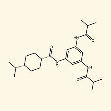 CC(C)C(=O)Nc1cc(NC(=O)C(C)C)cc(NC(=O)[C@H]2CC[C@@H](C(C)C)CC2)c1